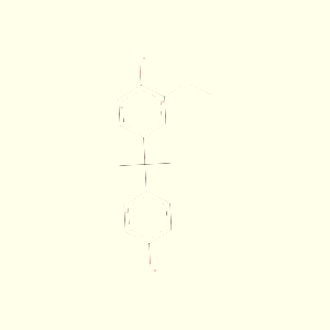 COc1cc(C(C)(C)c2ccc(O)cc2)ccc1O